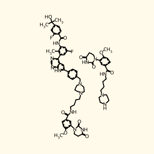 COc1ccc(C(=O)NCCCCN2CCN(Cc3ccc(-c4cc5c(-c6cc(F)cc(NC(=O)c7ccc(C(C)(C)O)cc7F)c6C)ncnc5[nH]4)cc3)CC2)cc1N1CCC(=O)NC1=O.COc1ccc(C(=O)NCCCCN2CCNCC2)cc1N1CCC(=O)NC1=O